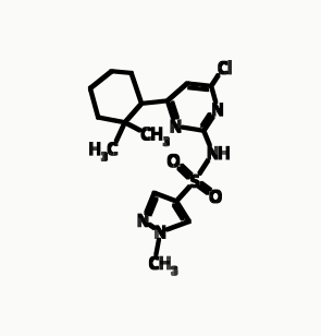 Cn1cc(S(=O)(=O)Nc2nc(Cl)cc(C3CCCCC3(C)C)n2)cn1